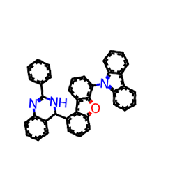 c1ccc(C2=Nc3ccccc3C(c3cccc4oc5c(-n6c7ccccc7c7ccccc76)cccc5c34)N2)cc1